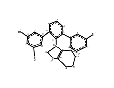 Brc1cc(Br)cc(-c2cccc(-c3cc(Br)cc(Br)c3)c2N2[C]SC3=C2CCCC3)c1